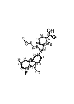 CCn1c2ccc(-c3nc4c(C)c(C(=O)O)ccc4n3CCOC)cc2c2cc(C)cc(F)c21